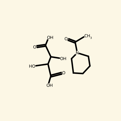 CC(=O)N1CCCCC1.O=C(O)C(O)C(O)C(=O)O